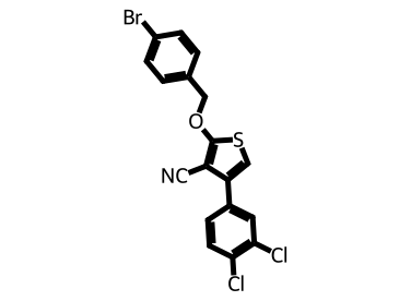 N#Cc1c(-c2ccc(Cl)c(Cl)c2)csc1OCc1ccc(Br)cc1